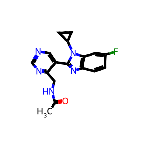 CC(=O)NCc1ncncc1-c1nc2ccc(F)cc2n1C1CC1